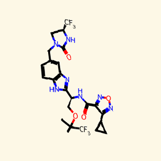 CC(C)(OC[C@H](NC(=O)c1nonc1C1CC1)c1nc2cc(CN3C[C@@H](C(F)(F)F)NC3=O)ccc2[nH]1)C(F)(F)F